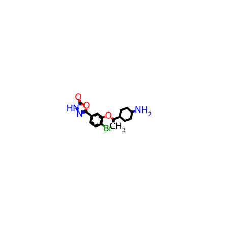 CC(Oc1cc(-c2n[nH]c(=O)o2)ccc1Br)C1CCC(N)CC1